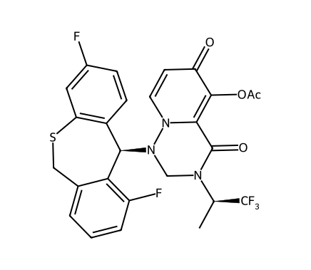 CC(=O)Oc1c2n(ccc1=O)N([C@@H]1c3ccc(F)cc3SCc3cccc(F)c31)CN([C@H](C)C(F)(F)F)C2=O